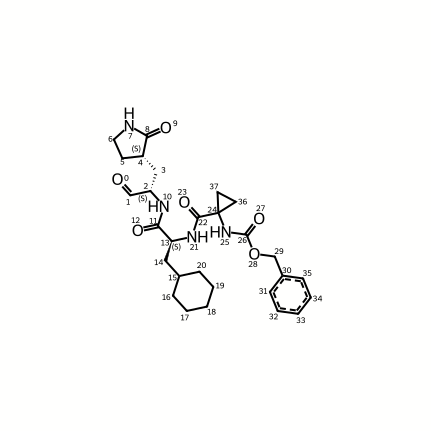 O=C[C@H](C[C@@H]1CCNC1=O)NC(=O)[C@H](CC1CCCCC1)NC(=O)C1(NC(=O)OCc2ccccc2)CC1